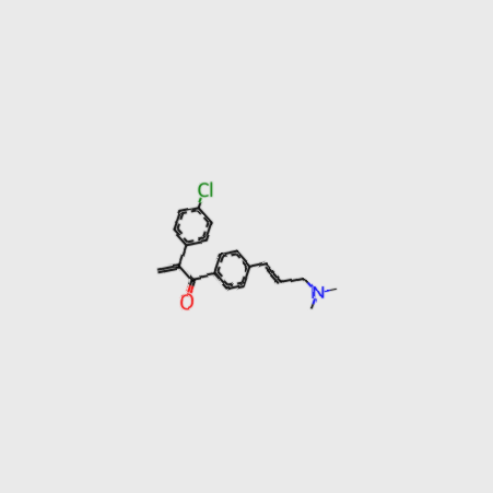 C=C(C(=O)c1ccc(/C=C/CN(C)C)cc1)c1ccc(Cl)cc1